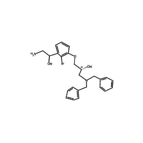 NCC(O)c1cccc(OC[C@H](O)CN(Cc2ccccc2)Cc2ccccc2)c1Br